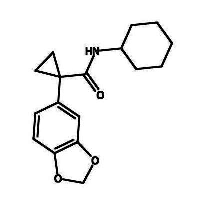 O=C(NC1CCCCC1)C1(c2ccc3c(c2)OCO3)CC1